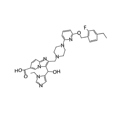 CCc1ccc(COc2cccc(N3CCN(Cc4nc5ccc(C(=O)O)cn5c4C(O)c4cncn4CC)CC3)n2)c(F)c1